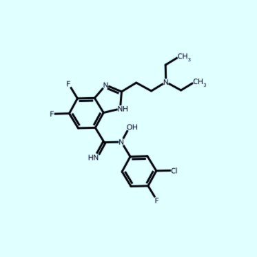 CCN(CC)CCc1nc2c(F)c(F)cc(C(=N)N(O)c3ccc(F)c(Cl)c3)c2[nH]1